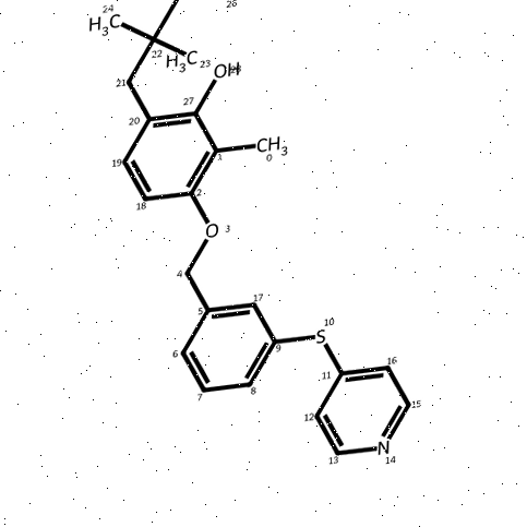 Cc1c(OCc2cccc(Sc3ccncc3)c2)ccc(CC(C)(C)CC=O)c1O